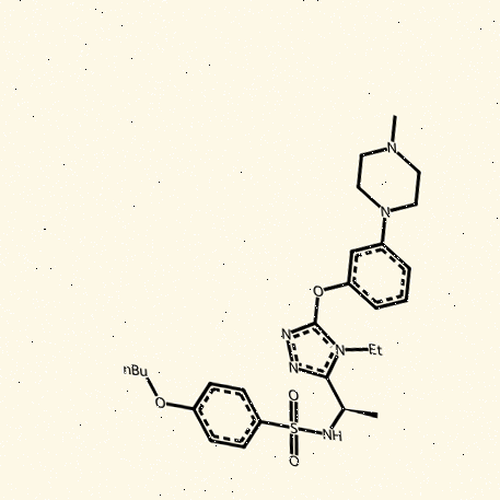 CCCCOc1ccc(S(=O)(=O)N[C@H](C)c2nnc(Oc3cccc(N4CCN(C)CC4)c3)n2CC)cc1